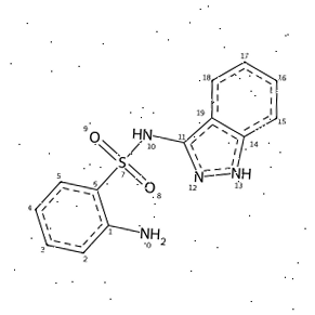 Nc1ccccc1S(=O)(=O)Nc1n[nH]c2ccccc12